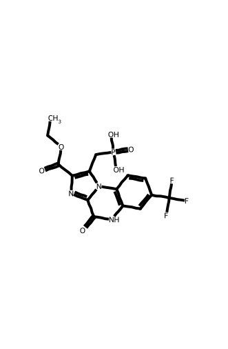 CCOC(=O)c1nc2c(=O)[nH]c3cc(C(F)(F)F)ccc3n2c1CP(=O)(O)O